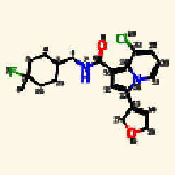 CC1(F)CCC(CNC(=O)c2cc(C3=CCOC3)n3cccc(Cl)c23)CC1